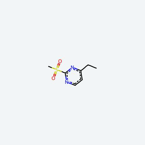 CCc1ccnc(S(C)(=O)=O)n1